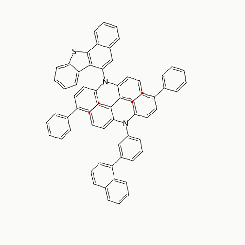 c1ccc(-c2ccc(N(c3cccc(-c4cccc5ccccc45)c3)c3ccccc3-c3ccccc3N(c3ccc(-c4ccccc4)cc3)c3cc4ccccc4c4sc5ccccc5c34)cc2)cc1